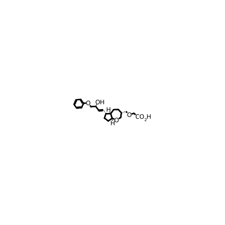 O=C(O)COC[C@H]1CC[C@H]2[C@H](CC[C@@H]2/C=C/[C@@H](O)COc2ccccc2)OC1